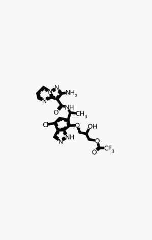 CC(NC(=O)c1c(N)nn2cccnc12)c1cc(Cl)c2cn[nH]c2c1OCC(O)COC(=O)C(F)(F)F